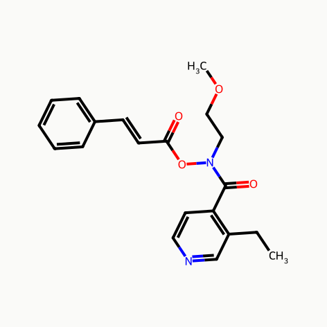 CCc1cnccc1C(=O)N(CCOC)OC(=O)C=Cc1ccccc1